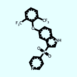 O=S(=O)(c1ccncc1)c1c[nH]c2ccc(Oc3c(C(F)(F)F)c[c]cc3C(F)(F)F)cc12